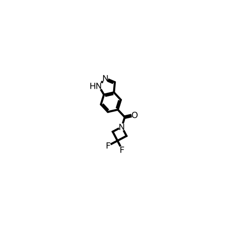 O=C(c1ccc2[nH]ncc2c1)N1CC(F)(F)C1